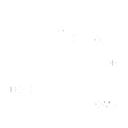 COc1cc(C(=O)O)cc(S(C)(=O)=O)c1O